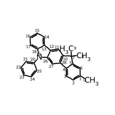 Cc1ccc2c(c1)C(C)(C)c1cc3c4ccccc4n(-c4ccccc4)c3cc1-2